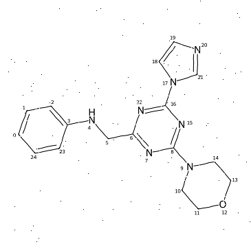 c1ccc(NCc2nc(N3CCOCC3)nc(-n3ccnc3)n2)cc1